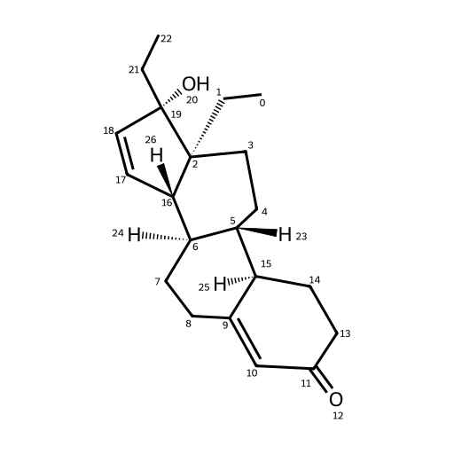 CC[C@]12CC[C@H]3[C@@H](CCC4=CC(=O)CC[C@@H]43)[C@@H]1C=C[C@@]2(O)CC